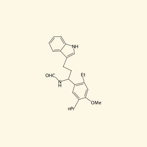 CCCc1cc(C(CCc2c[nH]c3ccccc23)NC=O)c(CC)cc1OC